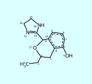 CCC1Cc2c(O)cccc2C(C2=NCCN2)O1